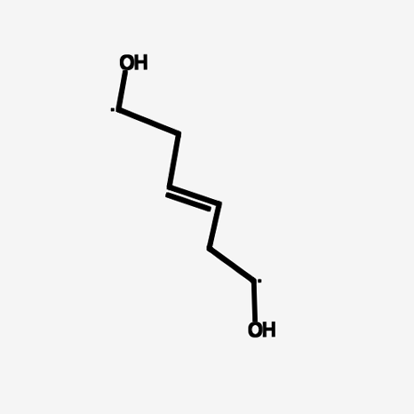 O[CH]CC=CC[CH]O